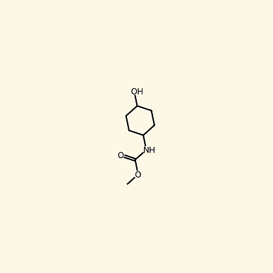 COC(=O)NC1CCC(O)CC1